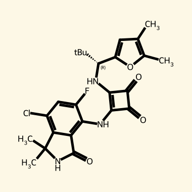 Cc1cc([C@H](Nc2c(Nc3c(F)cc(Cl)c4c3C(=O)NC4(C)C)c(=O)c2=O)C(C)(C)C)oc1C